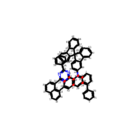 c1ccc(-c2cccc(N(c3ccc(-c4cccc5cccc(-c6nc(-c7ccccc7)nc(-c7ccccc7)n6)c45)cc3)c3ccc4c(c3)-c3ccccc3C43c4ccccc4-c4ccccc43)c2)cc1